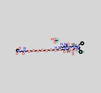 CC(C)[C@H](NC(=O)CCOCCOCCOCCOCCOCCOCCOCCOCCNC(=O)CCN1C(=O)C=CC1=O)C(=O)N(CCCN(C(=O)CO)[C@@H](c1nc(-c2cc(F)ccc2F)cn1Cc1ccccc1)C(C)(C)C)[C@@H](CCCCN)C(N)=O.O=C(O)C(F)(F)F